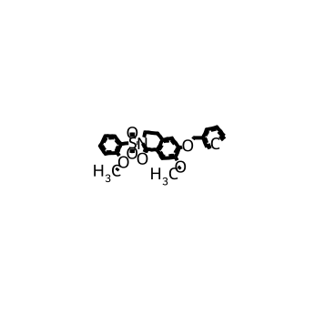 COc1cc2c(cc1OCc1ccccc1)CCN(S(=O)(=O)c1ccccc1OC)C2=O